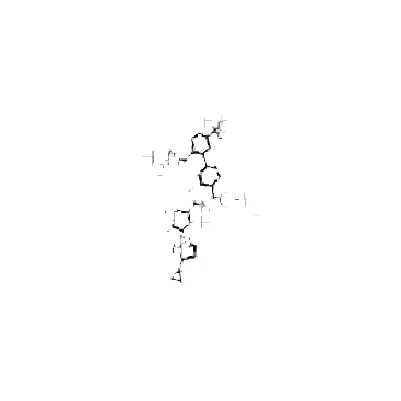 C[C@@H](NC(=O)c1cncc(-n2ccc(C3CC3)n2)c1)c1ccc(-c2cc(C(F)(F)F)ccc2CN)cc1